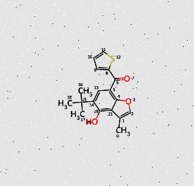 Cc1coc2c(C(=O)c3cccs3)cc(C(C)(C)C)c(O)c12